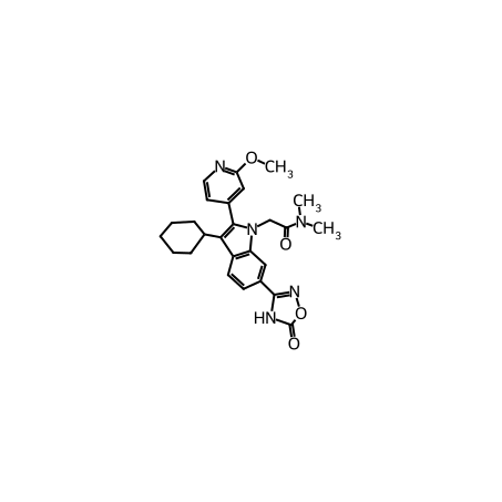 COc1cc(-c2c(C3CCCCC3)c3ccc(-c4noc(=O)[nH]4)cc3n2CC(=O)N(C)C)ccn1